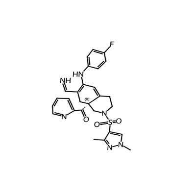 Cc1nn(C)cc1S(=O)(=O)N1CCC2=CC(Nc3ccc(F)cc3)=C(C=N)C[C@]2(C(=O)c2ccccn2)C1